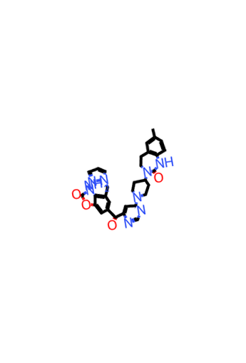 Cc1ccc2c(c1)CCN(C1CCN(c3cc(C(=O)c4cc(Cn5cccn5)c5c(c4)oc(=O)n5N)ncn3)CC1)C(=O)N2